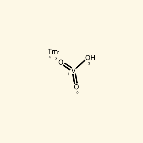 [O]=[V](=[O])[OH].[Tm]